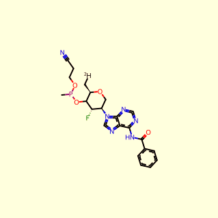 [2H]C[C@H]1OC[C@@H](n2cnc3c(NC(=O)c4ccccc4)ncnc32)[C@H](F)C1OP(C)OCCC#N